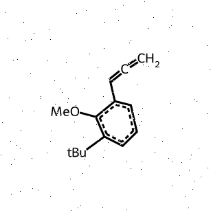 C=C=Cc1cccc(C(C)(C)C)c1OC